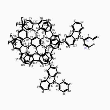 C=C/C=C(\C=C/C)n1c2ccccc2c2cc(-c3ccc4c(c3)c3cc(-c5ccc6c(c5)c5ccccc5n6-c5ccccc5)ccc3n4-c3c(-n4c5ccccc5c5ccccc54)c(-n4c5ccccc5c5ccccc54)c(-c4cc(C(F)(F)F)cc(C(F)(F)F)c4)c(-n4c5ccccc5c5ccccc54)c3-n3c4ccccc4c4ccccc43)ccc21